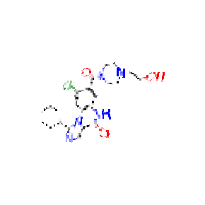 O=C(c1cc2[nH]c(=O)c3cnc(C4CCCCC4)n3c2cc1Cl)N1CCN(CCO)CC1